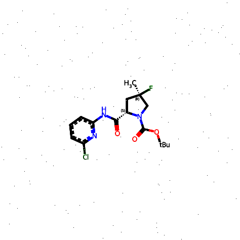 CC(C)(C)OC(=O)N1C[C@](C)(F)C[C@H]1C(=O)Nc1cccc(Cl)n1